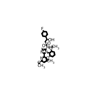 COc1cccc(-c2nnc(NS(=O)(=O)C[C@H](O)c3ccc(F)cc3)n2-c2c(OC)cccc2OC)n1